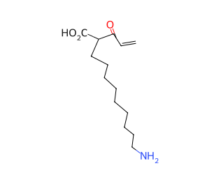 C=CC(=O)C(CCCCCCCCCN)C(=O)O